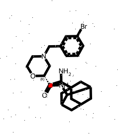 NC(=O)C12CC3CC(C1)C(NC(=O)[C@H]1CN(Cc4cccc(Br)c4)CCO1)C(C3)C2